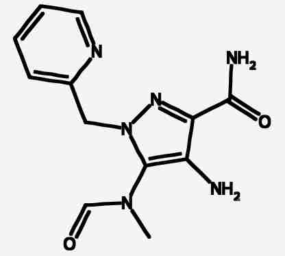 CN(C=O)c1c(N)c(C(N)=O)nn1Cc1ccccn1